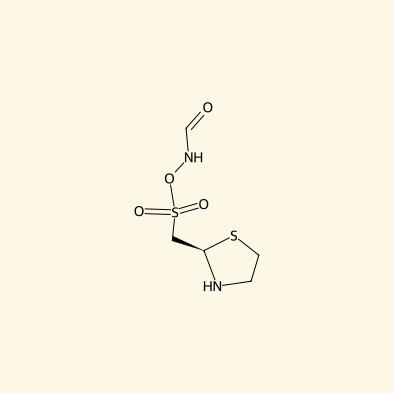 O=CNOS(=O)(=O)C[C@@H]1NCCS1